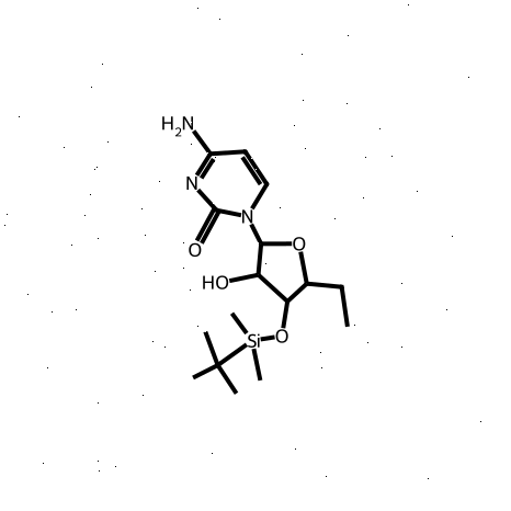 CCC1OC(n2ccc(N)nc2=O)C(O)C1O[Si](C)(C)C(C)(C)C